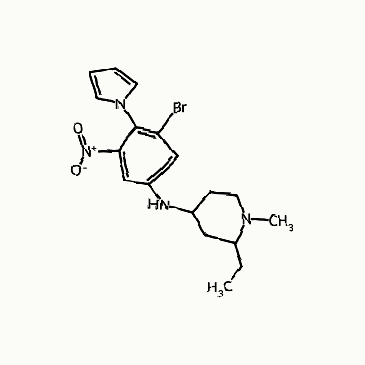 CCC1CC(Nc2cc(Br)c(-n3cccc3)c([N+](=O)[O-])c2)CCN1C